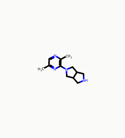 Cc1cnc(C)c(N2CC3CNCC3C2)n1